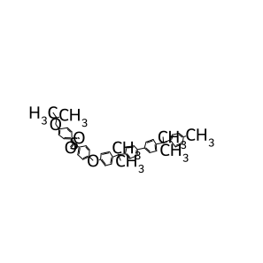 Cc1ccc(C(C)(C)c2ccc(-c3ccc(C(C)(C)c4ccc(Oc5ccc(S(=O)(=O)c6ccc(OC(C)C)cc6)cc5)cc4)cc3)cc2)cc1